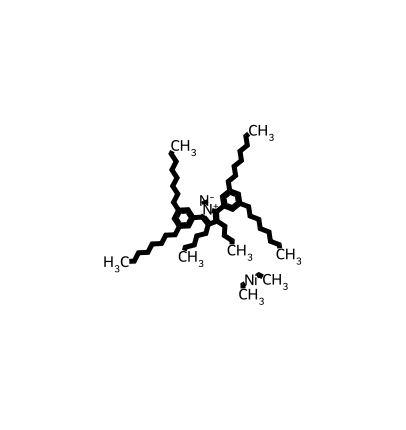 CCCCCCCCc1cc(CCCCCCCC)cc(C2=C(CCCC)C(CCCCC)=C(c3cc(CCCCCCCC)cc(CCCCCCCC)c3)[N+]2=[N-])c1.C[CH2][Ni][CH2]C